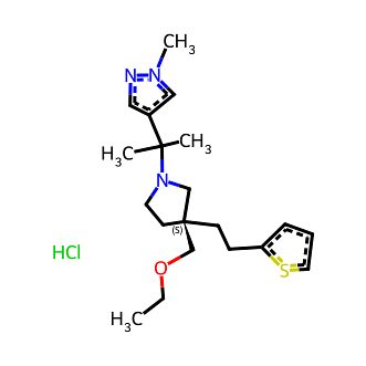 CCOC[C@@]1(CCc2cccs2)CCN(C(C)(C)c2cnn(C)c2)C1.Cl